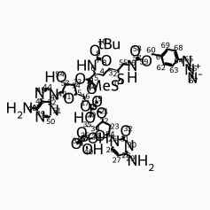 CSS[C@@H](CC[C@H](NC(=O)OC(C)(C)C)C(=O)O[C@@H]1[C@@H](COP(=O)(O)O[C@H]2C[C@H](n3ccc(N)nc3=O)O[C@@H]2COP(=O)(O)O)OC(n2cnc3c(N)ncnc32)[C@@H]1O)CNC(=O)OCc1ccc(N=[N+]=[N-])cc1